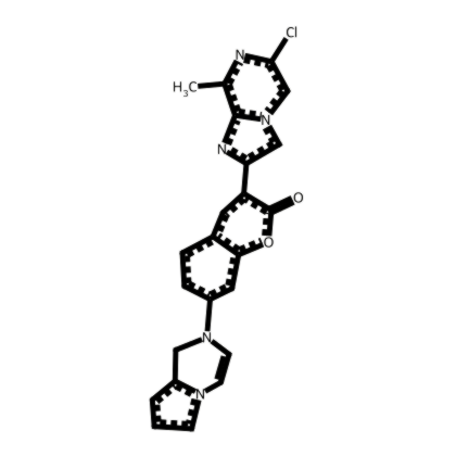 Cc1nc(Cl)cn2cc(-c3cc4ccc(N5C=Cn6cccc6C5)cc4oc3=O)nc12